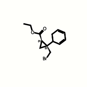 CCOC(=O)[C@@H]1C[C@@]1(CBr)C1C=CC=CC1